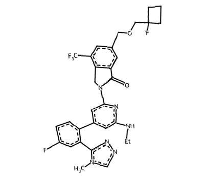 CCNc1cc(-c2ccc(F)cc2-c2nncn2C)cc(N2Cc3c(cc(COCC4(F)CCC4)cc3C(F)(F)F)C2=O)n1